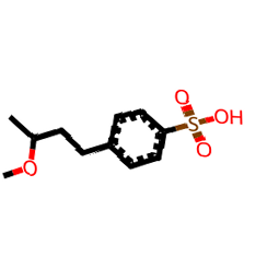 COC(C)CCc1ccc(S(=O)(=O)O)cc1